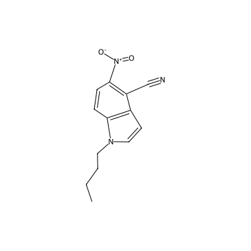 CCCCn1ccc2c(C#N)c([N+](=O)[O-])ccc21